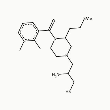 CSCCC1CN(CC(N)CS)CCN1C(=O)c1cccc(C)c1C